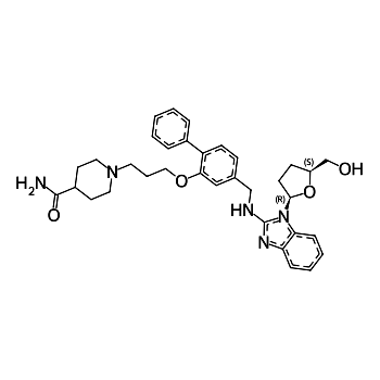 NC(=O)C1CCN(CCCOc2cc(CNc3nc4ccccc4n3[C@H]3CC[C@@H](CO)O3)ccc2-c2ccccc2)CC1